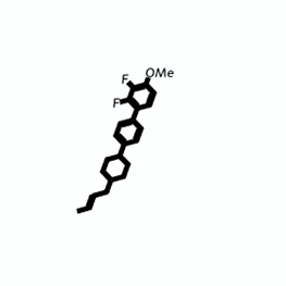 CC=CCC1CCC(c2ccc(-c3ccc(OC)c(F)c3F)cc2)CC1